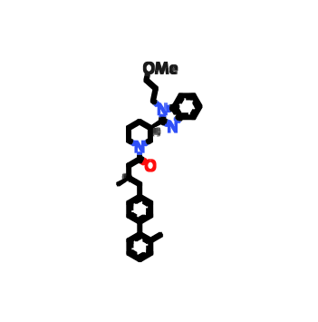 COCCCn1c([C@@H]2CCCN(C(=O)C[C@H](C)Cc3ccc(-c4ccccc4C)cc3)C2)nc2ccccc21